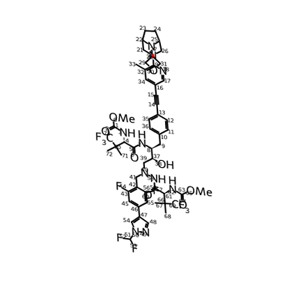 COC(=O)N[C@H](C(=O)N[C@@H](Cc1ccc(C#Cc2cnc(N3CC4CCC(C3)N4C3COC3)c(C)c2)cc1)[C@@H](O)CN(Cc1c(F)cc(-c2cnn(C(F)F)c2)cc1F)NC(=O)[C@@H](NC(=O)OC)C(C)(C)C(F)(F)F)C(C)(C)C(F)(F)F